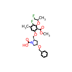 COC(=O)c1c(OC[C@H]2C[C@H](OCc3ccccc3)CN2C(=O)O)cc(C)c(F)c1O[C@H](C)CF